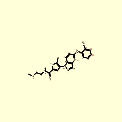 COCCNC(=O)c1cc(-n2ncc3nc(Oc4ccccc4Cl)ccc32)c(C)s1